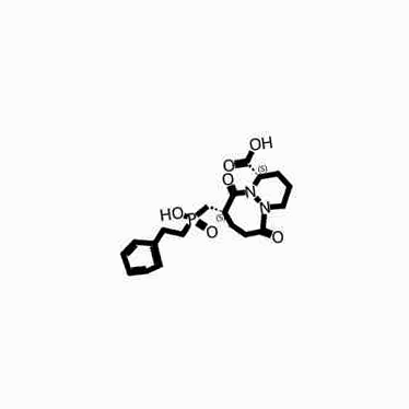 O=C(O)[C@@H]1CCCN2C(=O)CC[C@H](CP(=O)(O)CCc3ccccc3)C(=O)N12